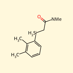 CNC(=O)C[SiH2]c1cccc(C)c1C